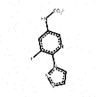 O=C(O)Nc1cnc(-n2ccnn2)c(F)c1